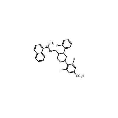 C[C@@H](NCC1CCN(c2c(F)cc(C(=O)O)cc2F)CC1c1ccccc1F)c1cccc2ccccc12